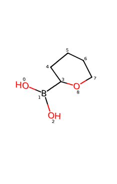 OB(O)C1CCCCO1